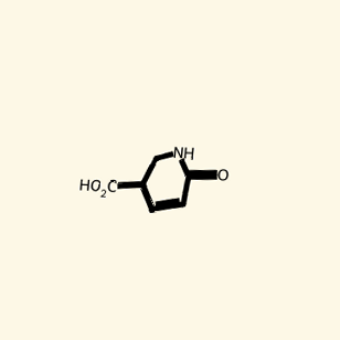 O=C1C=CC(C(=O)O)CN1